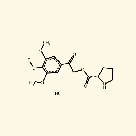 COc1cc(C(=O)COC(=O)[C@@H]2CCCN2)cc(OC)c1OC.Cl